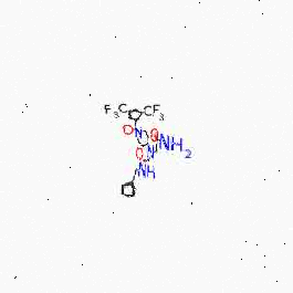 NC(=O)CN(CC(=O)NCc1ccccc1)C1CCN(C(=O)c2cc(C(F)(F)F)cc(C(F)(F)F)c2)CC1